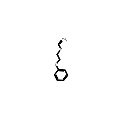 C=COCCSc1ccccc1